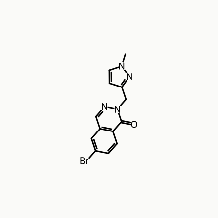 Cn1ccc(Cn2ncc3cc(Br)ccc3c2=O)n1